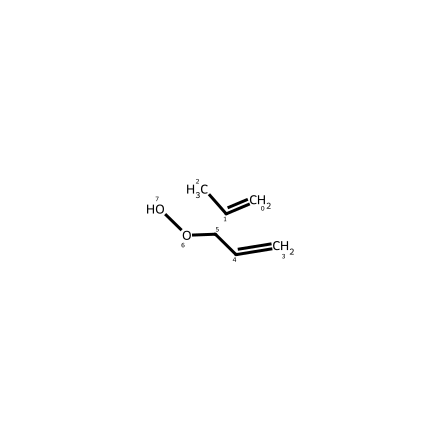 C=CC.C=CCOO